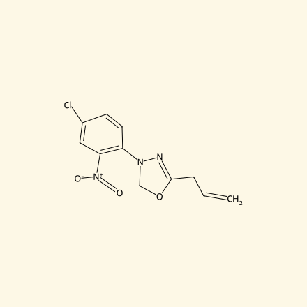 C=CCC1=NN(c2ccc(Cl)cc2[N+](=O)[O-])CO1